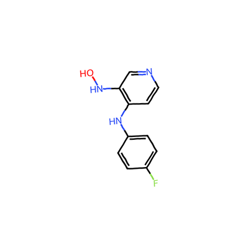 ONc1cnccc1Nc1ccc(F)cc1